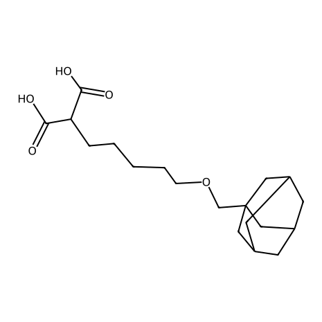 O=C(O)C(CCCCCOCC12CC3CC(CC(C3)C1)C2)C(=O)O